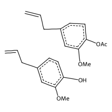 C=CCc1ccc(O)c(OC)c1.C=CCc1ccc(OC(C)=O)c(OC)c1